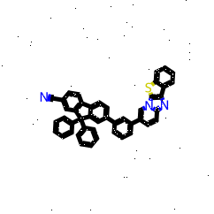 N#Cc1ccc2c(c1)C(c1ccccc1)(c1ccccc1)c1cc(-c3cccc(-c4ccc5nc6c7ccccc7sc6n5c4)c3)ccc1-2